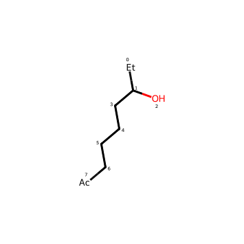 [CH2]CC(O)CCCCC(C)=O